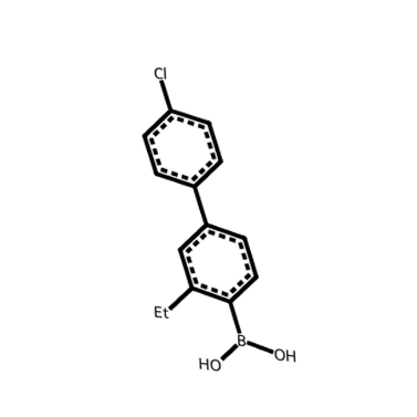 CCc1cc(-c2ccc(Cl)cc2)ccc1B(O)O